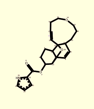 O=C(OC1CCC2C3C=CC4CCCOCC/C=C\C42OC13)c1ccc[nH]1